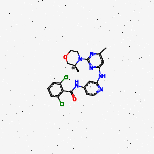 Cc1cc(Nc2cc(NC(=O)c3c(Cl)cccc3Cl)ccn2)nc(N2CCOC[C@@H]2C)n1